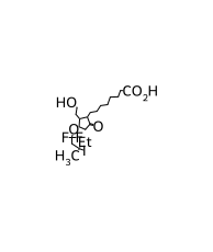 CC[C@@](C)(I)CC(F)(F)OC1CC(=O)C(CCCCCCCC(=O)O)C1CCO